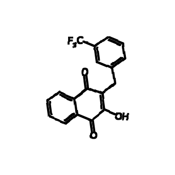 O=C1C(O)=C(Cc2cccc(C(F)(F)F)c2)C(=O)c2ccccc21